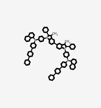 Cc1c(-c2ccccc2)n(-c2ccc(N(c3ccc(-c4ccc(-c5ccccc5)cc4)cc3)c3cccc4ccccc34)cc2)c2ccc(-c3ccc4c(c3)c(C)c(-c3ccccc3)n4-c3ccc(N(c4ccc(-c5ccc(-c6ccccc6)cc5)cc4)c4cccc5ccccc45)cc3)cc12